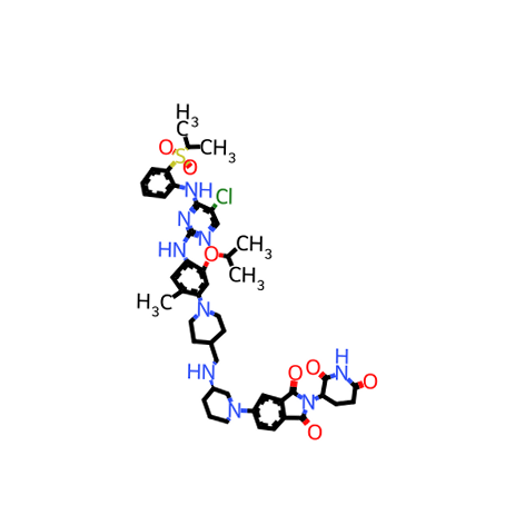 Cc1cc(Nc2ncc(Cl)c(Nc3ccccc3S(=O)(=O)C(C)C)n2)c(OC(C)C)cc1N1CCC(CN[C@@H]2CCCN(c3ccc4c(c3)C(=O)N(C3CCC(=O)NC3=O)C4=O)C2)CC1